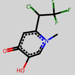 Cn1cc(O)c(=O)cc1C(Cl)C(F)(F)F